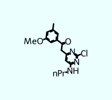 CCCNc1cc(CC(=O)c2cc(C)cc(OC)c2)nc(Cl)n1